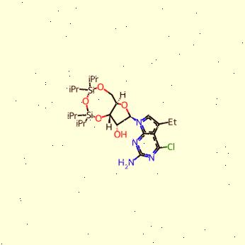 CCc1cn([C@@H]2O[C@@H]3CO[Si](C(C)C)(C(C)C)O[Si](C(C)C)(C(C)C)O[C@H]3[C@H]2O)c2nc(N)nc(Cl)c12